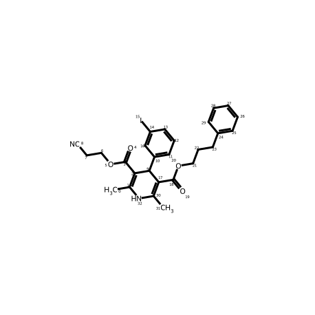 CC1=C(C(=O)OCCC#N)C(c2cccc(I)c2)C(C(=O)OCCCc2ccccc2)=C(C)N1